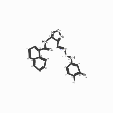 O=C(Nc1nonc1/C=N/ONc1ccc(F)c(Br)c1)c1cccc2ccccc12